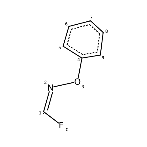 F/[C]=N\Oc1ccccc1